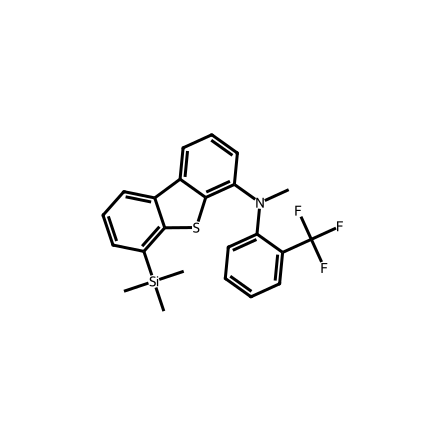 CN(c1ccccc1C(F)(F)F)c1cccc2c1sc1c([Si](C)(C)C)cccc12